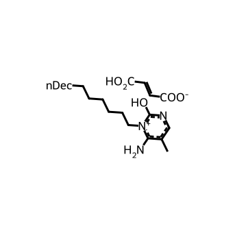 CCCCCCCCCCCCCCCC[n+]1c(O)ncc(C)c1N.O=C([O-])C=CC(=O)O